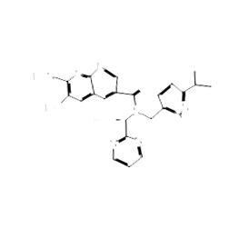 Cc1cc2cc(C(=O)N(Cc3ccc(C(F)F)nn3)[C@H](C)c3ncccn3)cnc2nc1N